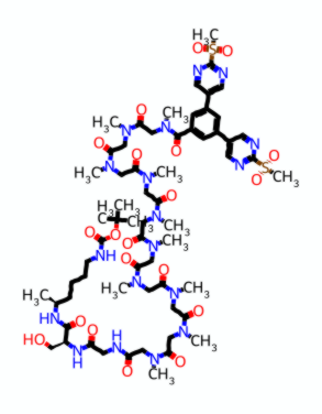 C[C@@H](CCCCNC(=O)OC(C)(C)C)NC(=O)[C@H](CO)NC(=O)CNC(=O)CN(C)C(=O)CN(C)C(=O)CN(C)C(=O)CN(C)C(=O)CN(C)C(=O)CN(C)C(=O)CN(C)C(=O)CN(C)C(=O)CN(C)C(=O)CN(C)C(=O)c1cc(-c2cnc(S(C)(=O)=O)nc2)cc(-c2cnc(S(C)(=O)=O)nc2)c1